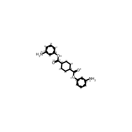 Nc1cccc(OC(=O)C2CCC(C(=O)Oc3cccc(N)c3)CC2)c1